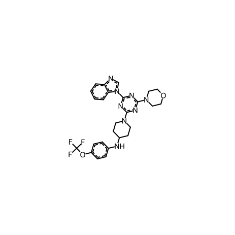 FC(F)(F)Oc1ccc(NC2CCN(c3nc(N4CCOCC4)nc(-n4cnc5ccccc54)n3)CC2)cc1